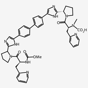 COC(=O)N[C@@H](Cc1ccccn1)C(=O)N1CCCC1c1ncc(-c2ccc(-c3ccc(-c4cnc([C@@H]5CCCN5C(=O)[C@H](Cc5ccccn5)N(C)C(=O)O)[nH]4)cc3)cc2)[nH]1